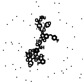 C[C@@H]1COCCN1C[C@H]1CN(C(=O)OC(C)(C)C)[C@H](C)CN1CC(=O)N1CC(C)(C(=O)NCC(=O)Nc2ccc3c(c2)[C@@H](C(=O)Nc2c(F)cccc2F)N(C(=O)[C@@H](NC(=O)[C@H](C)N(C)C(=O)OC(C)(C)C)C2CCOCC2)C3)c2ccc(Cc3ccc(F)cc3)cc21